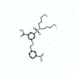 CCCCN(CCCC)S(=O)(=O)c1cc(SCc2cccc([N+](=O)[O-])c2)cc(C(=O)O)c1